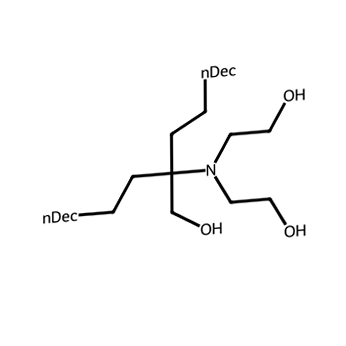 CCCCCCCCCCCCC(CO)(CCCCCCCCCCCC)N(CCO)CCO